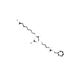 CC(C)(C)OC(=O)CCCCCCCNC(=O)[C@H](CCCCNC(=O)OCc1ccccc1)NC(=O)OC(C)(C)C